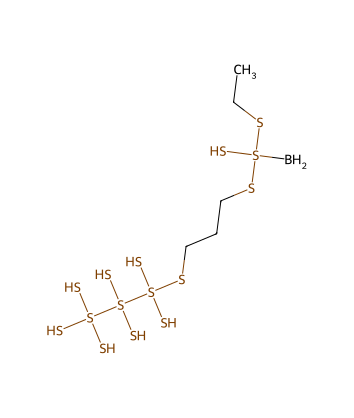 BS(S)(SCC)SCCCSS(S)(S)S(S)(S)S(S)(S)S